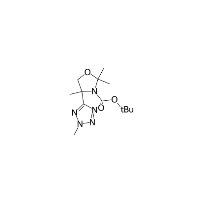 Cn1nnc(C2(C)COC(C)(C)N2C(=O)OC(C)(C)C)n1